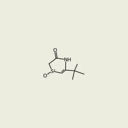 CC(C)(C)C1=C[S+]([O-])CC(=O)N1